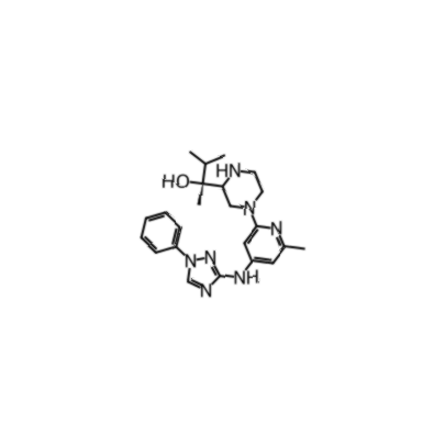 Cc1cc(Nc2ncn(-c3ccccc3)n2)cc(N2CCNC([C@](C)(O)C(C)C)C2)n1